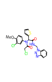 COc1ccc(N(C(=O)CCl)C(C(=O)NCn2nnc3ccccc32)c2cccs2)cc1Cl